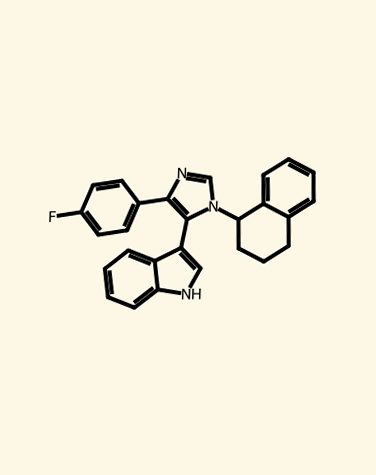 Fc1ccc(-c2ncn(C3CCCc4ccccc43)c2-c2c[nH]c3ccccc23)cc1